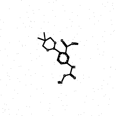 COC(=O)c1cc(NC(=O)OC(C)(C)C)ccc1B1OCC(C)(C)CO1